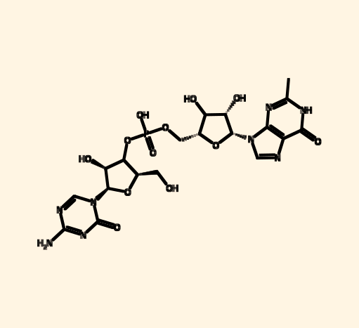 Cc1nc2c(ncn2[C@@H]2O[C@H](COP(=O)(O)OC3[C@@H](CO)O[C@@H](n4cnc(N)nc4=O)[C@H]3O)C(O)[C@@H]2O)c(=O)[nH]1